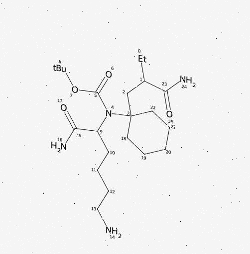 CCC(CC1(N(C(=O)OC(C)(C)C)C(CCCCN)C(N)=O)CCCCC1)C(N)=O